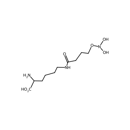 NC(CCCCNC(=O)CCCON(O)O)C(=O)O